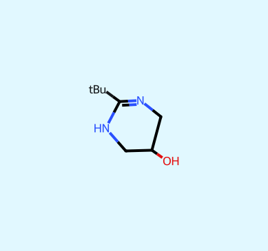 CC(C)(C)C1=NCC(O)CN1